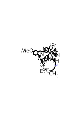 CC[C@H]1CC(=O)N2C[C@H](Oc3nc(-c4ccc(OC(C)C)cn4)cc4cc(OC)ccc34)C[C@H]2C(=O)N[C@]2(C(=O)NS(=O)(=O)C3(C)CC3)C[C@H]2/C=C\CC[C@@H](C)C1